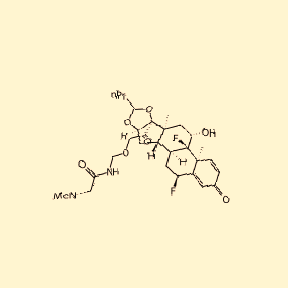 CCCC1O[C@@H]2C[C@H]3[C@@H]4C[C@H](F)C5=CC(=O)C=C[C@]5(C)[C@@]4(F)[C@@H](O)C[C@]3(C)[C@]2(C(=O)COCNC(=O)CNC)O1